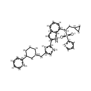 O=S(=O)(c1cccs1)N(CC1CC1)c1cccc2cc(-c3ncc(CN4CCCC(c5ccccn5)C4)s3)[nH]c12